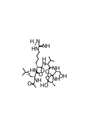 CC(=O)N[C@@H](CSC(C)C)C(=O)N[C@@H](CCCCNC(=N)N)C(=O)N[C@H](C(=O)N[C@@H](CO)C(=O)N[C@@H](C)C(=O)O)C(C)C